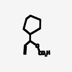 C=CC(OC(=O)O)C1CCCCC1